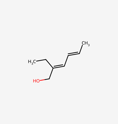 CC=C/C=C(\CC)CO